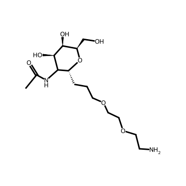 CC(=O)NC1[C@@H](O)[C@@H](O)[C@@H](CO)O[C@@H]1CCCOCCOCCN